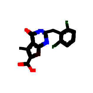 Cc1c(C(=O)O)sc2nc(Cc3c(F)cccc3F)[nH]c(=O)c12